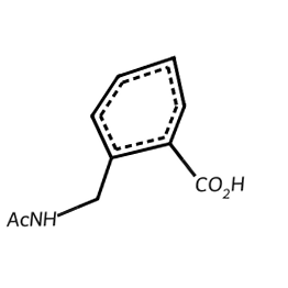 CC(=O)NCc1ccccc1C(=O)O